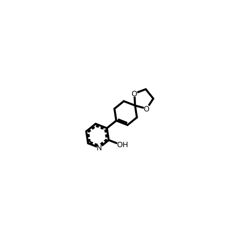 Oc1ncccc1C1=CCC2(CC1)OCCO2